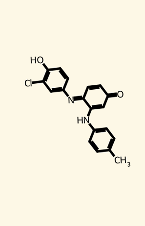 Cc1ccc(NC2=CC(=O)C=C/C2=N\c2ccc(O)c(Cl)c2)cc1